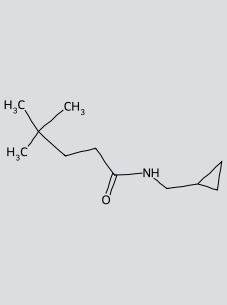 CC(C)(C)CCC(=O)NCC1CC1